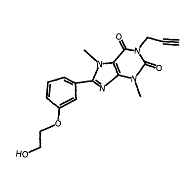 C#CCn1c(=O)c2c(nc(-c3cccc(OCCO)c3)n2C)n(C)c1=O